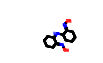 ON=C1CCCCC1NC1CCCCC1=NO